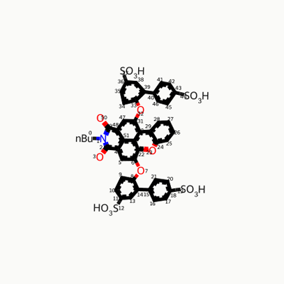 CCCCn1c(=O)c2cc(Oc3ccc(S(=O)(=O)O)cc3-c3ccc(S(=O)(=O)O)cc3)c3oc4ccccc4c4c(Oc5ccc(S(=O)(=O)O)cc5-c5ccc(S(=O)(=O)O)cc5)cc(c1=O)c2c34